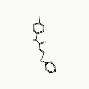 O=C(C=COc1ccccc1)Nc1ccc(I)cc1